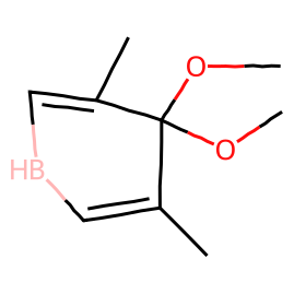 COC1(OC)C(C)=CBC=C1C